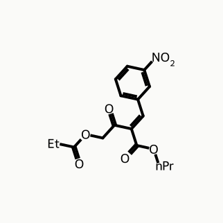 CCCOC(=O)C(=Cc1cccc([N+](=O)[O-])c1)C(=O)COC(=O)CC